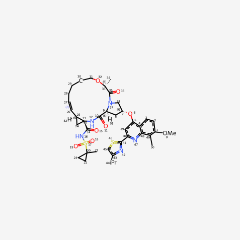 COc1ccc2c(O[C@@H]3C[C@H]4C(=O)N[C@]5(C(=O)NS(=O)(=O)C6(C)CC6)C[C@H]5/C=C\CCCCO[C@H](C)C(=O)N4C3)cc(-c3nc(C(C)C)cs3)nc2c1C